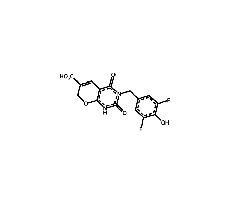 O=C(O)C1=Cc2c([nH]c(=O)n(Cc3cc(F)c(O)c(F)c3)c2=O)OC1